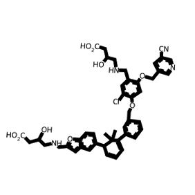 CC1(C)C(c2cccc(COc3cc(OCc4cncc(C#N)c4)c(CNCC(O)CC(=O)O)cc3Cl)c2)=CC=CC1c1ccc2oc(CNCC(O)CC(=O)O)cc2c1